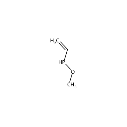 C=CPOC